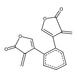 C=C1C(=O)OC=C1c1ccccc1C1=COC(=O)C1=C